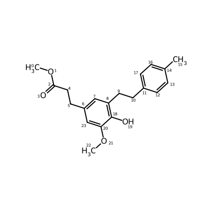 COC(=O)CCc1cc(CCc2ccc(C)cc2)c(O)c(OC)c1